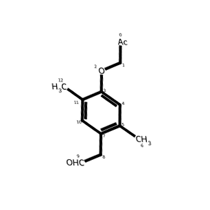 CC(=O)COc1cc(C)c(CC=O)cc1C